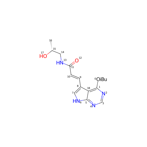 CC(C)COc1ncnc2[nH]cc(C=CC(=O)NC[C@@H](C)O)c12